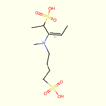 C/C=C(\C(C)S(=O)(=O)O)N(C)CCCCS(=O)(=O)O